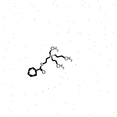 CCCC[N+](CC)(CCC)CCSC(=O)c1ccccc1